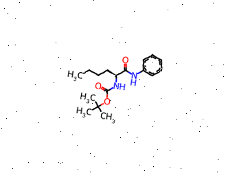 CCCC[C@H](NC(=O)OC(C)(C)C)C(=O)Nc1ccccc1